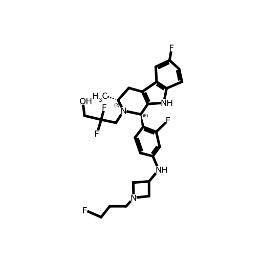 C[C@@H]1Cc2c([nH]c3ccc(F)cc23)[C@@H](c2ccc(NC3CN(CCCF)C3)cc2F)N1CC(F)(F)CO